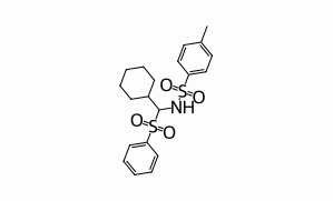 Cc1ccc(S(=O)(=O)NC(C2CCCCC2)S(=O)(=O)c2ccccc2)cc1